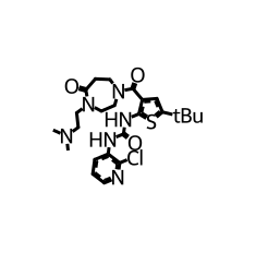 CN(C)CCN1CCN(C(=O)c2cc(C(C)(C)C)sc2NC(=O)Nc2cccnc2Cl)CCC1=O